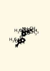 COc1nc2c(cc1C#N)CCCC2Oc1ccc(NC(=O)OC(C)(C)C)c(C(C)=N)c1